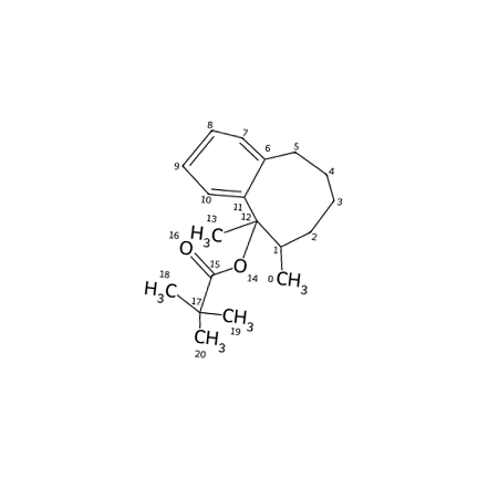 CC1CCCCc2ccccc2C1(C)OC(=O)C(C)(C)C